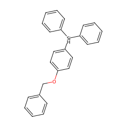 c1ccc(COc2ccc([SiH](c3ccccc3)c3ccccc3)cc2)cc1